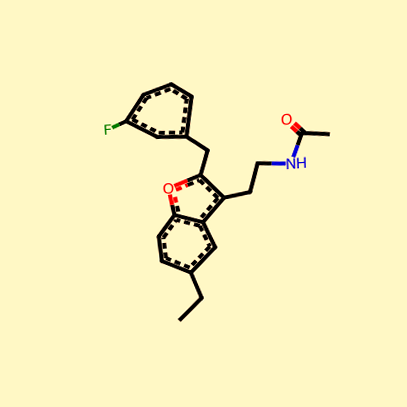 CCc1ccc2oc(Cc3cccc(F)c3)c(CCNC(C)=O)c2c1